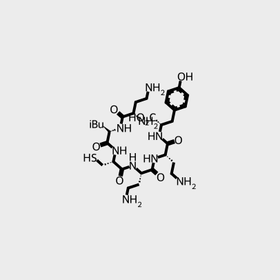 CC[C@H](C)[C@H](NC(=O)[C@@H](N)CCN)C(=O)N[C@@H](CS)C(=O)N[C@@H](CCN)C(=O)N[C@@H](CCN)C(=O)N[C@@H](Cc1ccc(O)cc1)C(=O)O